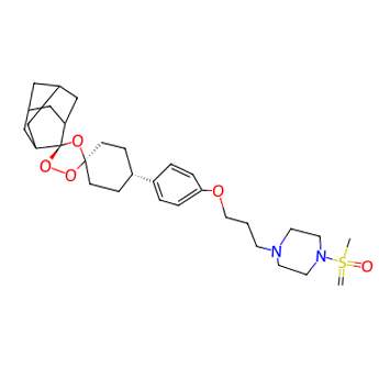 C=S(C)(=O)N1CCN(CCCOc2ccc([C@H]3CC[C@]4(CC3)OO[C@]3(O4)C4CC5CC(C4)CC3C5)cc2)CC1